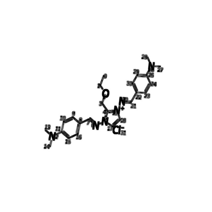 CCOCc1n(/N=C/c2ccc(N(C)C)cc2)cc[n+]1/N=C/c1ccc(N(C)C)cc1.[Cl-]